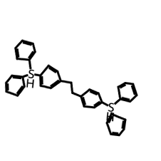 c1ccc([SH](c2ccccc2)c2ccc(CCc3ccc([SH](c4ccccc4)c4ccccc4)cc3)cc2)cc1